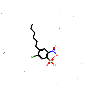 CCCCCCc1cc([N+](=O)[O-])c(S(=O)(=O)O)cc1Cl